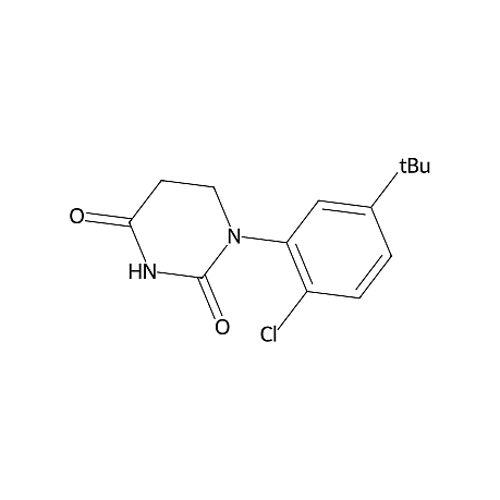 CC(C)(C)c1ccc(Cl)c(N2CCC(=O)NC2=O)c1